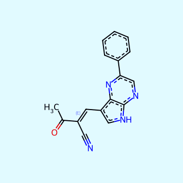 CC(=O)/C(C#N)=C/c1c[nH]c2ncc(-c3ccccc3)nc12